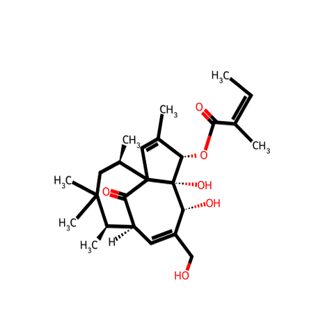 C/C=C(/C)C(=O)O[C@H]1C(C)=CC23C(=O)[C@@H](C=C(CO)[C@@H](O)[C@]12O)[C@@H](C)C(C)(C)C[C@H]3C